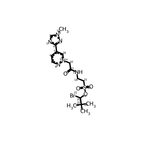 Cn1cnc(-c2ccn[n+](CC(=O)NCCS(=O)(=O)OC(Br)C(C)(C)C)c2)n1